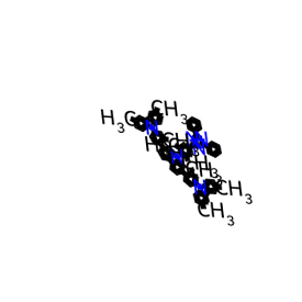 Cc1ccc2c(c1)c1cc(C)ccc1n2-c1ccc(-c2ccc3c4ccc(-c5ccc(-n6c7ccc(C)cc7c7cc(C)ccc76)cc5C)cc4n(-c4c(C)cc(-c5nc(-c6ccccc6)nc(-c6ccccc6)n5)cc4C)c3c2)c(C)c1